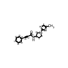 Cc1csc(N2CCC(NC(=O)C#Cc3ccccc3)C2)n1